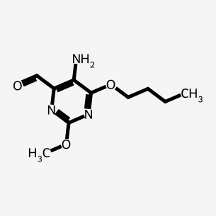 CCCCOc1nc(OC)nc(C=O)c1N